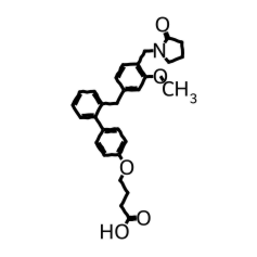 COc1cc(Cc2ccccc2-c2ccc(OCCCC(=O)O)cc2)ccc1CN1CCCC1=O